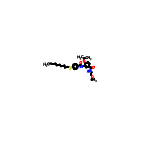 CCCCCCCCCCSc1ccc(C(=O)Nc2cc(C(=O)NCCOC)ccc2OC(C)C)cc1